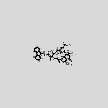 CC(NCCCC[C@H](NC(=O)OCC1c2ccccc2-c2ccccc21)C(=O)NCC(=O)NCC(=O)O)=C1C(=O)CC(C)(C)CC1=O